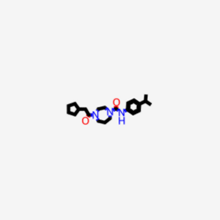 CC(C)c1ccc(NC(=O)N2CCCN(C(=O)CC3CCCC3)CC2)cc1